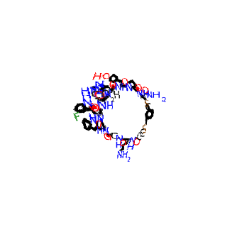 C[C@@]12CCCN1C(=O)[C@H](Cc1ccc(O)cc1)NC(=O)[C@H](Cc1c[nH]cn1)NC(=O)[C@H](CC(=O)O)NC(=O)[C@H](Cc1c[nH]c3ccc(F)cc13)NC(=O)[C@H](Cc1cnc3ccccc3c1)NC(=O)CNC(=O)[C@H](CCCCN)NC(=O)CCSCc1cccc(c1)CSC[C@@H](C(N)=O)NC2=O